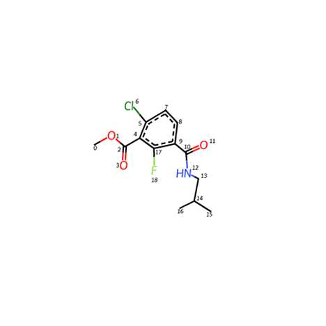 COC(=O)c1c(Cl)ccc(C(=O)NCC(C)C)c1F